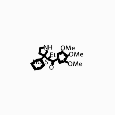 CCC(C(=O)c1cc(OC)c(OC)c(OC)c1)(C1(c2ccccc2)CCNC1)S(=O)(=O)O